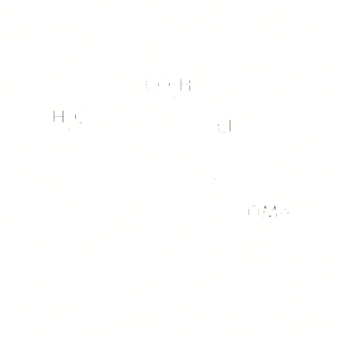 C=CC(=O)O.COC(Cl)c1ccccc1